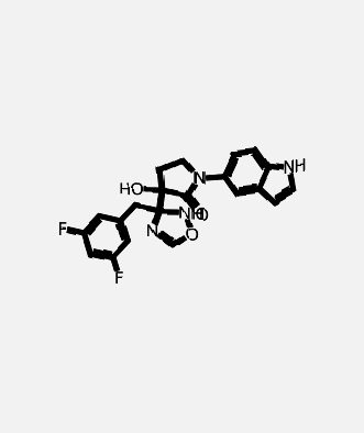 O=C1N(c2ccc3[nH]ccc3c2)CCC1(O)C1(Cc2cc(F)cc(F)c2)N=CON1